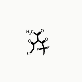 CC(=O)C(C(=O)CCl)C(=O)C(F)(F)F